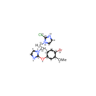 COc1cc(Oc2nccn2C)ccc1Br.Cn1ccnc1Cl